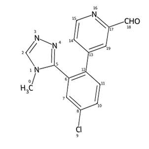 Cn1cnnc1-c1cc(Cl)ccc1-c1ccnc(C=O)c1